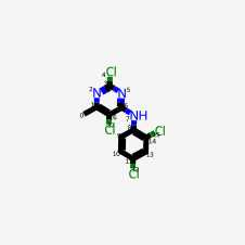 Cc1nc(Cl)nc(Nc2ccc(Cl)cc2Cl)c1Cl